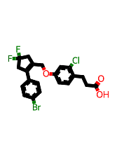 O=C(O)CCc1ccc(OCC2=C(c3ccc(Br)cc3)CC(F)(F)C2)cc1Cl